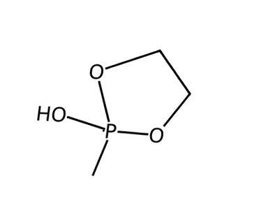 C[P]1(O)OCCO1